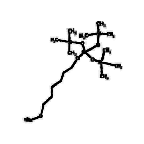 CCCCOCCCCCCO[Si](O[Si](C)(C)C)(O[Si](C)(C)C)O[Si](C)(C)C